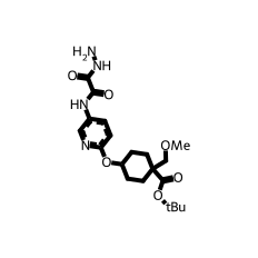 COCC1(C(=O)OC(C)(C)C)CCC(Oc2ccc(NC(=O)C(=O)NN)cn2)CC1